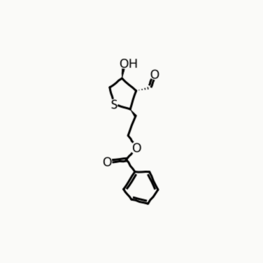 O=C[C@H]1[C@H](O)CS[C@@H]1CCOC(=O)c1ccccc1